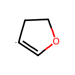 [C]1=COCC1